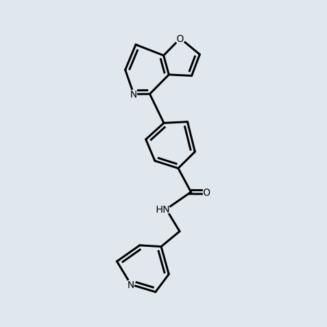 O=C(NCc1ccncc1)c1ccc(-c2nccc3occc23)cc1